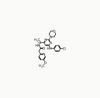 COc1ccc(CC(=O)N[C@@H](C)c2cc(Nc3ccc(Cl)cc3)nc(N3CCOCC3)n2)nc1